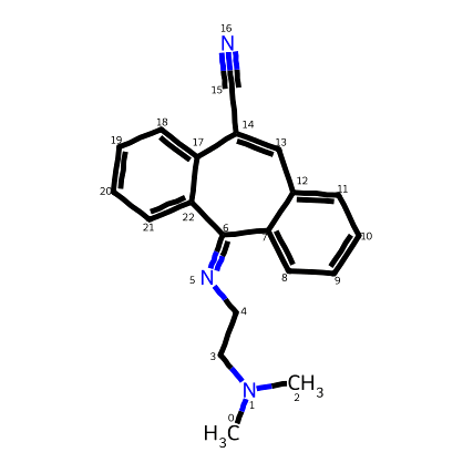 CN(C)CC/N=c1\c2ccccc2cc(C#N)c2ccccc12